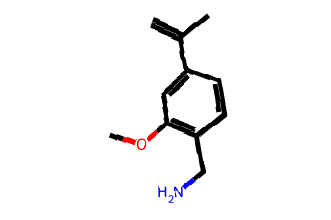 C=C(C)c1ccc(CN)c(OC)c1